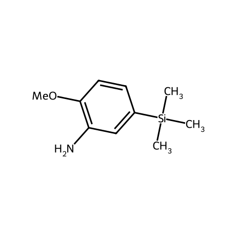 COc1ccc([Si](C)(C)C)cc1N